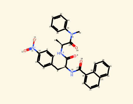 C[C@H](NC(=O)[C@H](Cc1ccc([N+](=O)[O-])cc1)NC(=O)c1cccc2ccccc12)C(=O)N(C)c1ccccc1